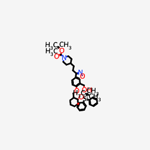 CC(C)(C)OC(=O)N1CCC(CCc2noc3c(CO)c(OCC4CCCCC4O[Si](c4ccccc4)(c4ccccc4)C(C)(C)C)ccc23)CC1